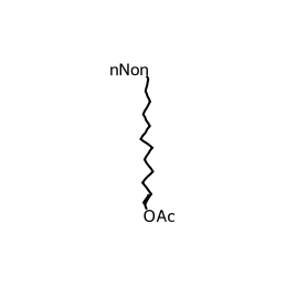 CCCCCCCCCCCCCCCCCCCC=COC(C)=O